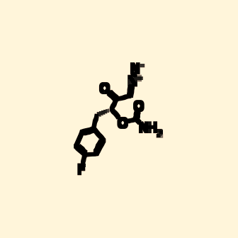 [N-]=[N+]=CC(=O)[C@@H](Cc1ccc(F)cc1)OC(N)=O